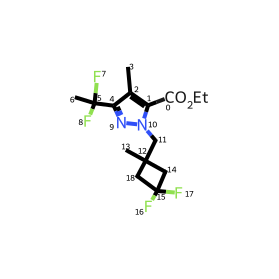 CCOC(=O)c1c(C)c(C(C)(F)F)nn1CC1(C)CC(F)(F)C1